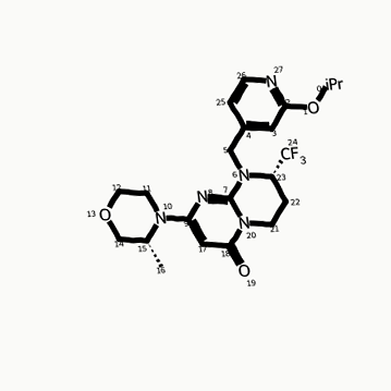 CC(C)Oc1cc(CN2c3nc(N4CCOC[C@H]4C)cc(=O)n3CC[C@H]2C(F)(F)F)ccn1